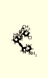 COc1ncc(Cl)cc1S(=O)(=O)Nc1nccc(C#Cc2cnn3c(N)ccnc23)c1F